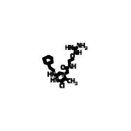 CC1=C(Cl)NC(NCCc2ccccc2)=CN1CC(=O)NCCONC(=N)N